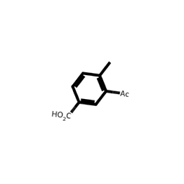 CC(=O)c1cc(C(=O)O)ccc1C